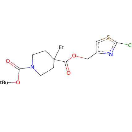 CCC1(C(=O)OCc2csc(Cl)n2)CCN(C(=O)OC(C)(C)C)CC1